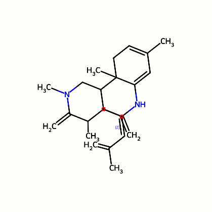 C=C(C)/C=C\CC(C)C(=C)N(C)CC1CC(=C)NC2=CC(C)=CCC21C